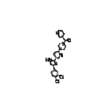 O=C(c1cccnc1)N1CCN(c2ccc(-c3nc(-c4ccc(Cl)c(Cl)c4)c[nH]3)cn2)CC1